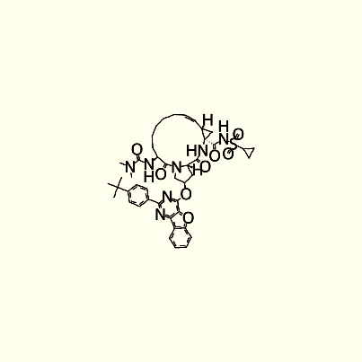 CN(C)C(=O)N[C@H]1CCCCC/C=C\[C@@H]2C[C@@]2(C(=O)NS(=O)(=O)C2CC2)NC(=O)[C@@H]2C[C@@H](Oc3nc(-c4ccc(C(C)(C)C)cc4)nc4c3oc3ccccc34)CN2C1=O